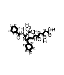 CC(C)n1c(NC(=O)c2ccccc2)nc(-c2ccc(F)cc2)c1CCC(O)CC(O)CC(=O)O